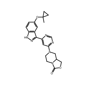 CC1(Oc2ccc3[nH]nc(-c4cc(N5CCN6C(=O)OCC6C5)ncn4)c3c2)CC1